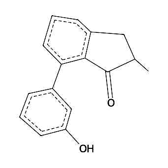 CC1Cc2cccc(-c3cccc(O)c3)c2C1=O